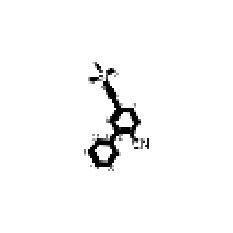 C[Si](C)(C)C#Cc1ccc(C#N)c(-c2ccccc2)c1